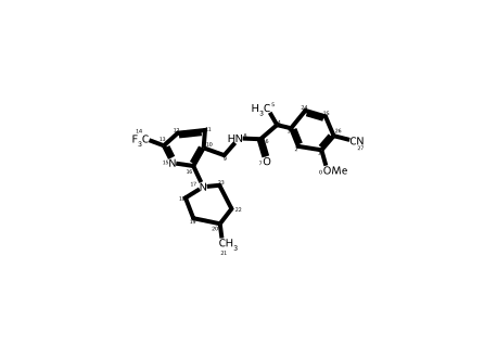 COc1cc(C(C)C(=O)NCc2ccc(C(F)(F)F)nc2N2CCC(C)CC2)ccc1C#N